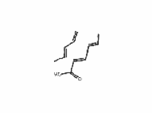 C=CC=CC.CC=CC=CC(=O)O